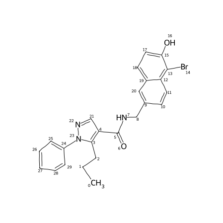 CCCc1c(C(=O)NCc2ccc3c(Br)c(O)ccc3c2)cnn1-c1ccccc1